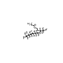 C=CC(=O)OCCC(F)(OC(F)(F)C(F)(F)C(F)(F)C(F)(F)C(F)(F)C(F)(F)F)C(F)(F)F